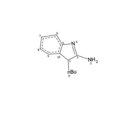 CCCCC1C(N)=Nc2ccccc21